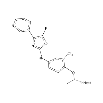 CCCCCCC[C@H](C)Oc1ccc(Nc2nc(-c3cccnc3)c(F)s2)cc1C(F)(F)F